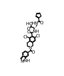 O=C(NC[C@H](NC(=O)c1c(Cl)cc2c(c1Cl)CCN(C(=O)c1ccc3cn[nH]c3c1)C2)C(=O)O)C1=CC=CC1